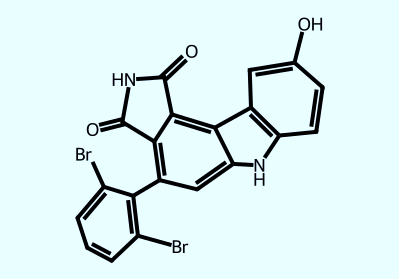 O=C1NC(=O)c2c1c(-c1c(Br)cccc1Br)cc1[nH]c3ccc(O)cc3c21